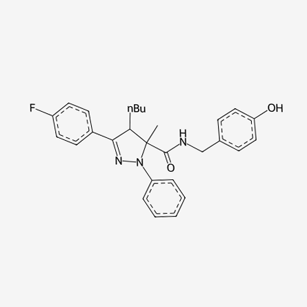 CCCCC1C(c2ccc(F)cc2)=NN(c2ccccc2)C1(C)C(=O)NCc1ccc(O)cc1